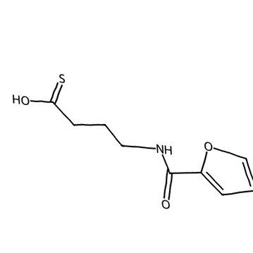 O=C(NCCCC(O)=S)c1ccco1